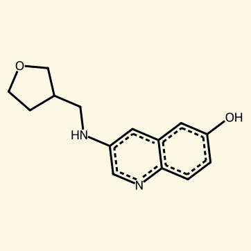 Oc1ccc2ncc(NCC3CCOC3)cc2c1